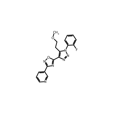 COCCc1c(-c2nc(-c3cccnc3)no2)nnn1-c1ccccc1F